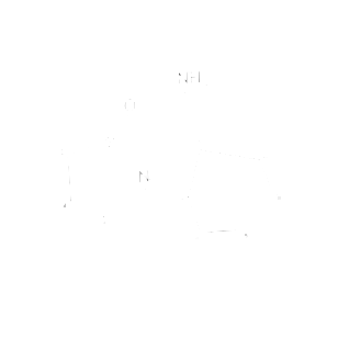 N.O=C1CCCN1C1CCCCC1